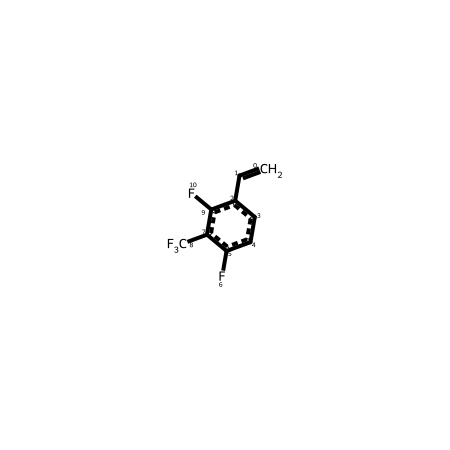 C=Cc1ccc(F)c(C(F)(F)F)c1F